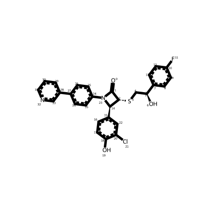 O=C1[C@H](SC[C@H](O)c2ccc(F)cc2)[C@@H](c2ccc(O)c(Cl)c2)N1c1ccc(-c2cccnc2)cc1